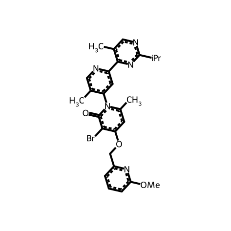 COc1cccc(COc2cc(C)n(-c3cc(-c4nc(C(C)C)ncc4C)ncc3C)c(=O)c2Br)n1